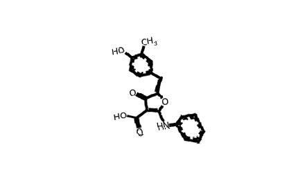 Cc1cc(C=C2OC(Nc3ccccc3)=C(C(=O)O)C2=O)ccc1O